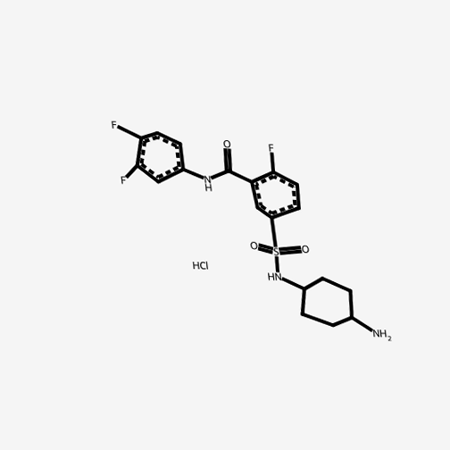 Cl.NC1CCC(NS(=O)(=O)c2ccc(F)c(C(=O)Nc3ccc(F)c(F)c3)c2)CC1